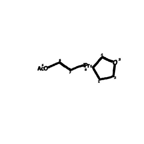 C1CCOC1.CC(=O)OCCC(C)C